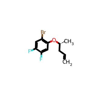 C=CC[C@@H](C)Oc1cc(F)c(F)cc1Br